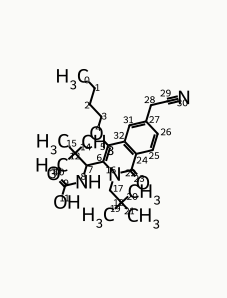 CCCCOc1c(C(NC(=O)O)C(C)(C)C)n(CC(C)(C)C)c(=O)c2ccc(CC#N)cc12